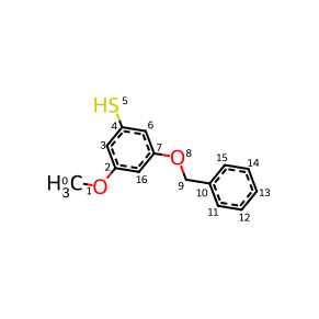 COc1cc(S)cc(OCc2ccccc2)c1